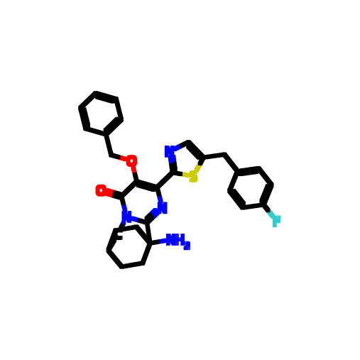 NC12CCC(CC1)Cn1c2nc(-c2ncc(Cc3ccc(F)cc3)s2)c(OCc2ccccc2)c1=O